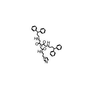 O=C(CN(C(=O)CNCCC(c1ccccc1)c1ccccc1)C(=O)CNCCC(c1ccccc1)c1ccccc1)NCCn1ccnc1